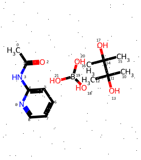 CC(=O)Nc1ccccn1.CC(C)(O)C(C)(C)O.OB(O)O